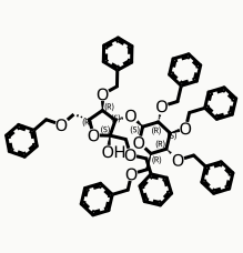 O[C@@]1(COCc2ccccc2)O[C@H](COCc2ccccc2)[C@@H](OCc2ccccc2)[C@@H]1O[C@@H]1O[C@H](COCc2ccccc2)[C@@H](OCc2ccccc2)[C@H](OCc2ccccc2)[C@H]1OCc1ccccc1